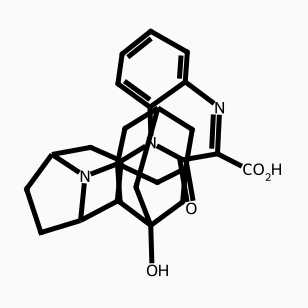 O=C(O)c1nc2ccccc2n(C2CC3CCC(C2)N3C23CC4CC(CC(O)(C4)C2)C3)c1=O